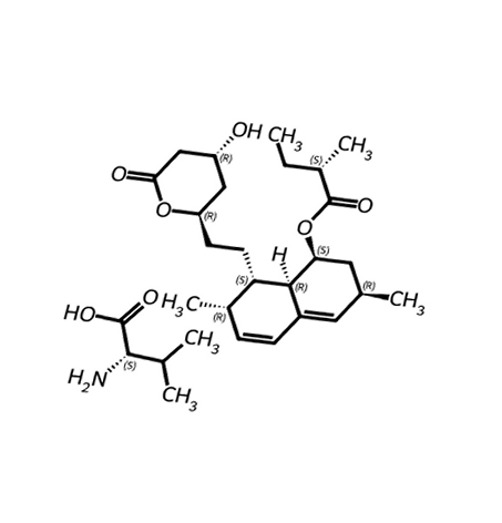 CC(C)[C@H](N)C(=O)O.CC[C@H](C)C(=O)O[C@H]1C[C@@H](C)C=C2C=C[C@H](C)[C@H](CC[C@@H]3C[C@@H](O)CC(=O)O3)[C@H]21